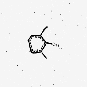 Cc1[c]ccc(C)c1O